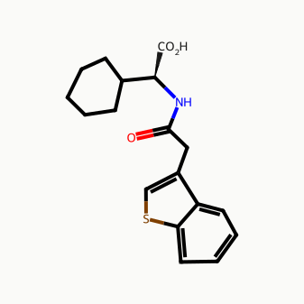 O=C(Cc1csc2ccccc12)N[C@H](C(=O)O)C1CCCCC1